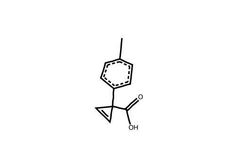 Cc1ccc(C2(C(=O)O)C=C2)cc1